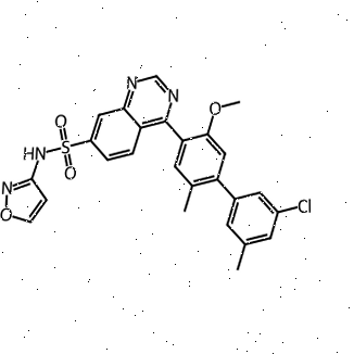 COc1cc(-c2cc(C)cc(Cl)c2)c(C)cc1-c1ncnc2cc(S(=O)(=O)Nc3ccon3)ccc12